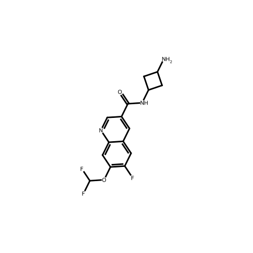 NC1CC(NC(=O)c2cnc3cc(OC(F)F)c(F)cc3c2)C1